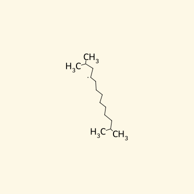 CC(C)C[CH]CCCCCCCC(C)C